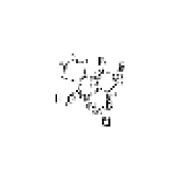 CN(c1ccccc1)c1nc(Cl)nc2cc(F)c(F)cc12